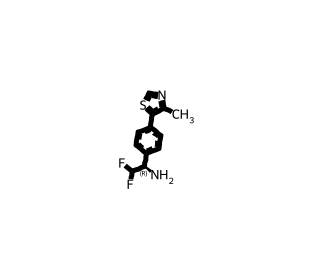 Cc1ncsc1-c1ccc([C@@H](N)C(F)F)cc1